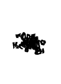 C#CCN1CC(=O)N2[C@@H](CC(C)C)C(=O)N(C(C)c3ccc(F)cc3)C[C@@H]2N1C(=O)NCc1ccccc1